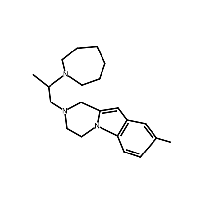 Cc1ccc2c(c1)cc1n2CCN(CC(C)N2CCCCCC2)C1